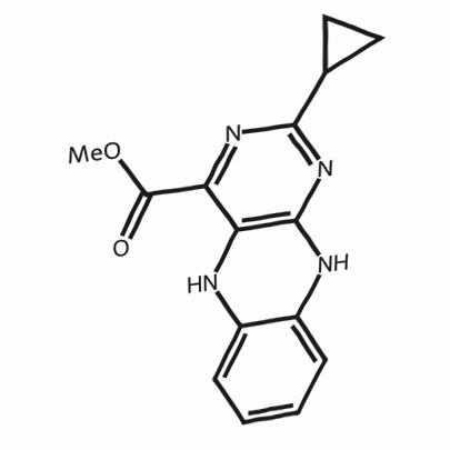 COC(=O)c1nc(C2CC2)nc2c1Nc1ccccc1N2